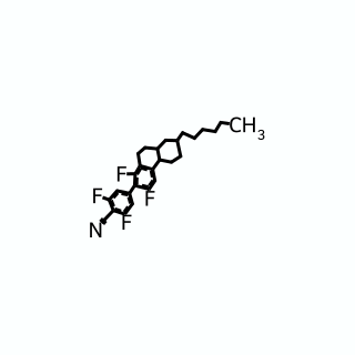 CCCCCCC1CCC2c3cc(F)c(-c4cc(F)c(C#N)c(F)c4)c(F)c3CCC2C1